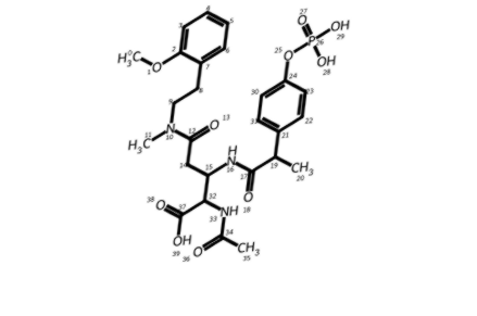 COc1ccccc1CCN(C)C(=O)CC(NC(=O)C(C)c1ccc(OP(=O)(O)O)cc1)C(NC(C)=O)C(=O)O